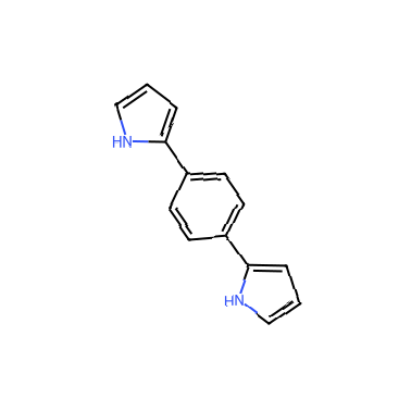 c1c[nH]c(-c2ccc(-c3ccc[nH]3)cc2)c1